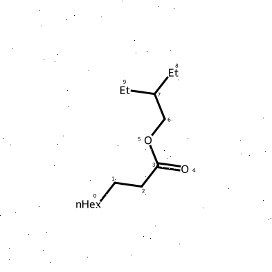 CCCCCCCCC(=O)OCC(CC)CC